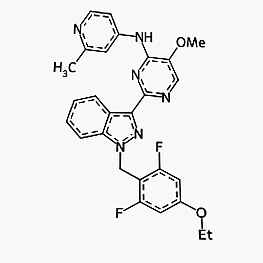 [CH2]COc1cc(F)c(Cn2nc(-c3ncc(OC)c(Nc4ccnc(C)c4)n3)c3ccccc32)c(F)c1